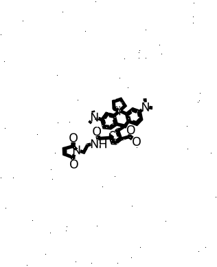 CN(C)c1ccc2c(c1)[Si]1(CCCC1)c1cc(N(C)C)ccc1C21OC(=O)c2ccc(C(=O)NCCN3C(=O)C=CC3=O)cc21